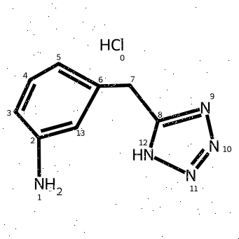 Cl.Nc1cccc(Cc2nnn[nH]2)c1